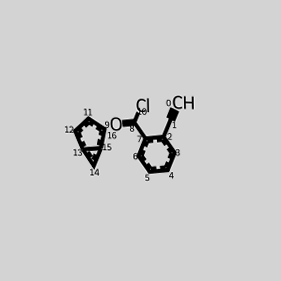 C#Cc1ccccc1C(=O)Cl.c1cc2cc-2c1